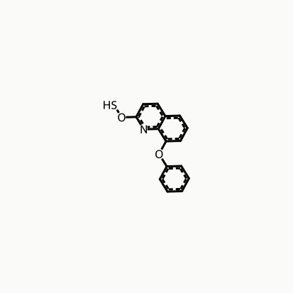 SOc1ccc2cccc(Oc3ccccc3)c2n1